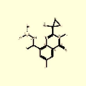 Cc1cc(C(C)N[S@+]([O-])C(C)(C)C)c2nc(C3(C#N)CC3)n(C)c(=O)c2c1